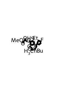 CCCCC1CN(c2ccc(F)cc2)c2cc(SCC)c(OCC(O)C(=O)OC)cc2S(=O)(=O)N1C